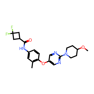 COC1CCN(c2ncc(Oc3ccc(NC(=O)C4CC(F)(F)C4)cc3C)cn2)CC1